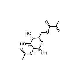 C=C(C)C(=O)OCC1O[C@@H](O)C(NC(C)=O)[C@@H](O)[C@@H]1O